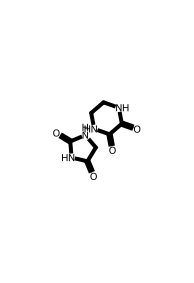 O=C1CNC(=O)N1.O=C1NCCNC1=O